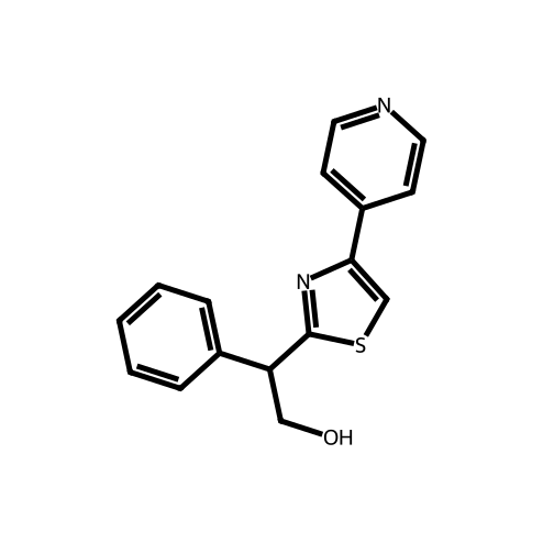 OCC(c1ccccc1)c1nc(-c2ccncc2)cs1